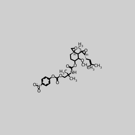 COC1C(OC(=O)NC(C)(C)COC(=O)Oc2ccc([N+](=O)[O-])cc2)CC[C@]2(CO2)C1[C@@]1(C)O[C@@H]1CC=C(C)C